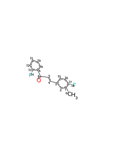 Cc1cc(/C=C/C(=O)c2ccccc2F)ccc1F